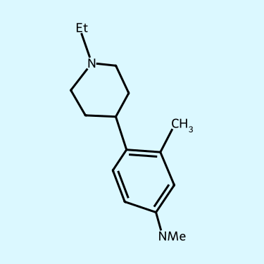 CCN1CCC(c2ccc(NC)cc2C)CC1